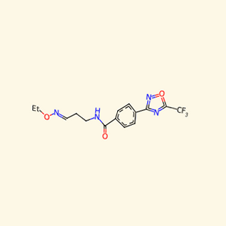 CCON=CCCNC(=O)c1ccc(-c2noc(C(F)(F)F)n2)cc1